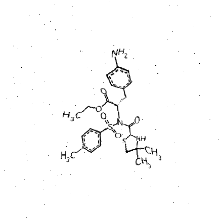 CCOC(=O)[C@H](Cc1ccc(N)cc1)N(C(=O)[C@H]1NC(C)(C)CS1)S(=O)(=O)c1ccc(C)cc1